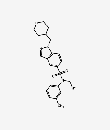 Cc1cccc(N(CC(C)C)S(=O)(=O)c2ccc3c(cnn3CC3CCOCC3)c2)c1